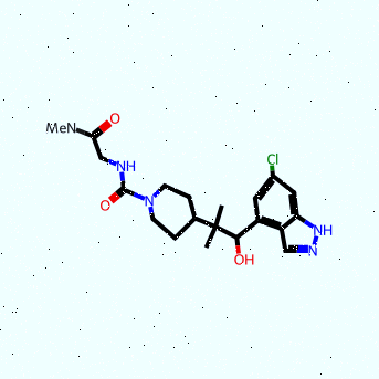 CNC(=O)CNC(=O)N1CCC(C(C)(C)C(O)c2cc(Cl)cc3[nH]ncc23)CC1